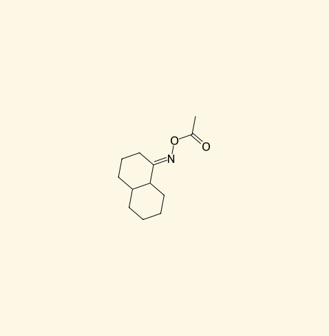 CC(=O)ON=C1CCCC2CCCCC12